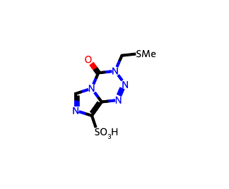 CSCn1nnc2c(S(=O)(=O)O)ncn2c1=O